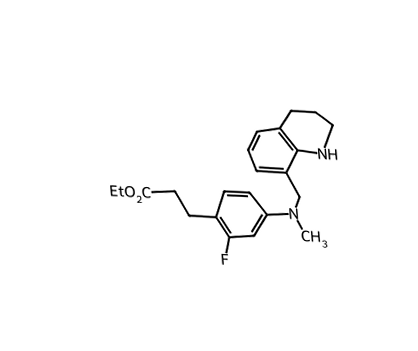 CCOC(=O)CCc1ccc(N(C)Cc2cccc3c2NCCC3)cc1F